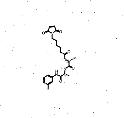 Cc1cccc(NC(=O)[C@H](C)NC(=O)[C@@H](NC(=O)CCCCCN2C(=O)C=CC2=O)C(C)C)c1